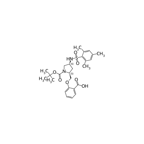 Cc1cc(C)c(S(=O)(=O)N[C@H]2C[C@@H](COc3ccccc3C(=O)O)N(C(=O)OC(C)(C)C)C2)c(C)c1